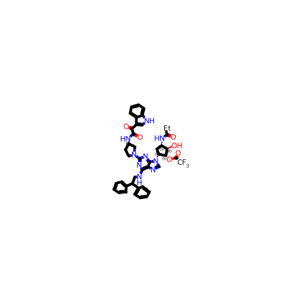 CCC(=O)N[C@H]1C[C@@H](n2cnc3c(NCC(c4ccccc4)c4ccccc4)nc(N4CC[C@@H](NC(=O)C(=O)c5c[nH]c6ccccc56)C4)nc32)[C@H](OC(=O)C(F)(F)F)[C@@H]1O